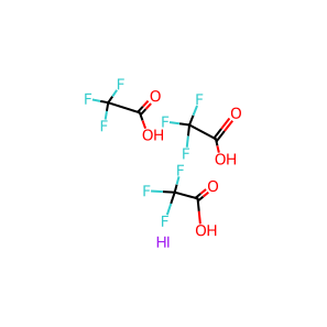 I.O=C(O)C(F)(F)F.O=C(O)C(F)(F)F.O=C(O)C(F)(F)F